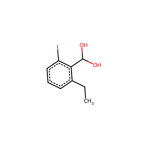 CCc1cccc(I)c1C(O)O